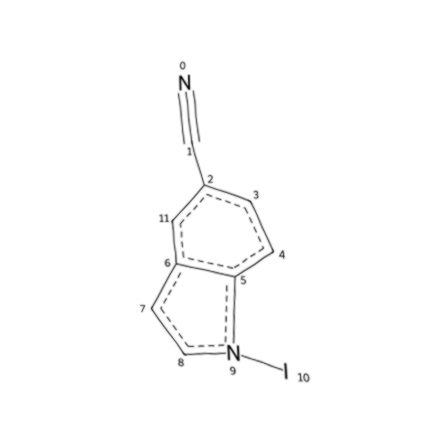 N#Cc1ccc2c(ccn2I)c1